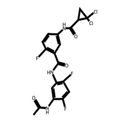 CC(=O)Nc1cc(NC(=O)c2cc(NC(=O)C3CC3(Cl)Cl)ccc2F)c(F)cc1F